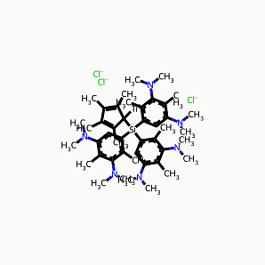 CC1=C(C)[C]([Ti+3])([Si](c2cc(N(C)C)c(C)c(N(C)C)c2C)(c2cc(N(C)C)c(C)c(N(C)C)c2C)c2cc(N(C)C)c(C)c(N(C)C)c2C)C(C)=C1C.[Cl-].[Cl-].[Cl-]